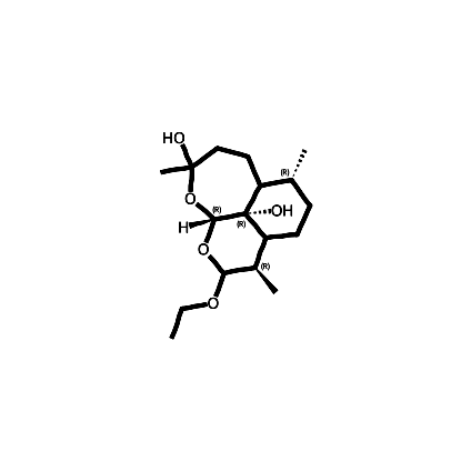 CCOC1O[C@@H]2OC(C)(O)CCC3[C@H](C)CCC([C@H]1C)[C@]32O